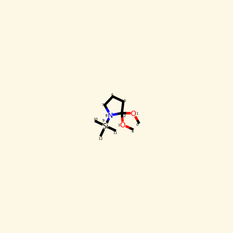 COC1(OC)CCCN1[Si](C)(C)C